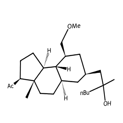 CCCCC(C)(O)C[C@H]1C[C@H]2CC[C@]3(C)[C@@H](C(C)=O)CC[C@H]3[C@@H]2[C@@H](COC)C1